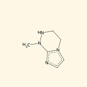 CN1NCCn2ccnc21